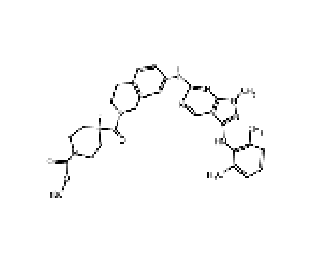 Cc1cccc(C)c1Nc1nn(C)c2nc(Nc3ccc4c(c3)CN(C(=O)C3(F)CCN(C(=O)OC(C)(C)C)CC3)CC4)ncc12